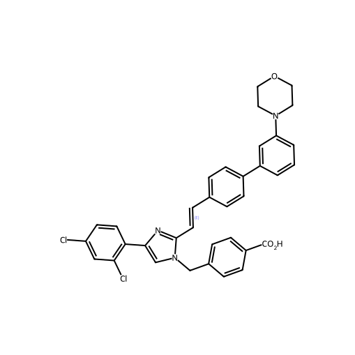 O=C(O)c1ccc(Cn2cc(-c3ccc(Cl)cc3Cl)nc2/C=C/c2ccc(-c3cccc(N4CCOCC4)c3)cc2)cc1